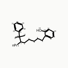 CCCC(CCCCCc1ccccc1O)C(C)(C)c1ccccc1